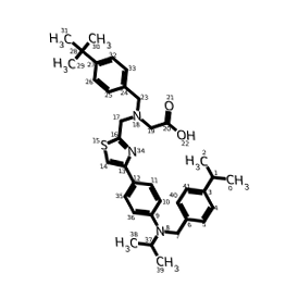 CC(C)c1ccc(CN(c2ccc(-c3csc(CN(CC(=O)O)Cc4ccc(C(C)(C)C)cc4)n3)cc2)C(C)C)cc1